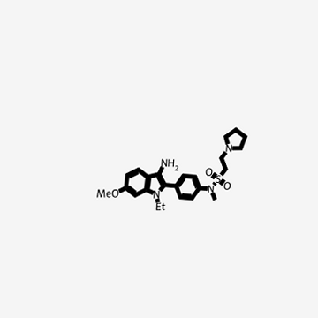 CCn1c(-c2ccc(N(C)S(=O)(=O)CCN3CCCC3)cc2)c(N)c2ccc(OC)cc21